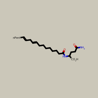 CCCCCC=CCC=CCCCCCCCC(=O)NC(CCC(N)=O)C(=O)O